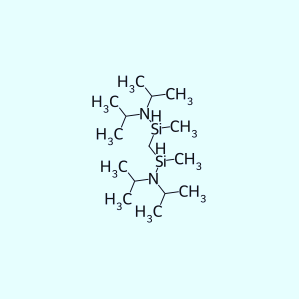 CC(C)N(C(C)C)[SiH](C)C[SiH](C)N(C(C)C)C(C)C